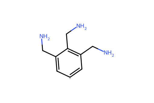 NCc1c[c]cc(CN)c1CN